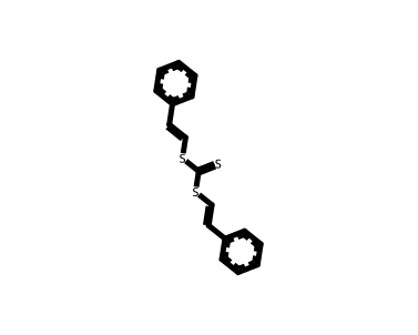 S=C(SC=Cc1ccccc1)SC=Cc1ccccc1